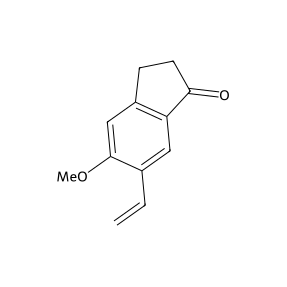 C=Cc1cc2c(cc1OC)CCC2=O